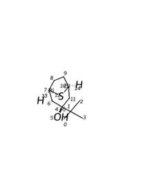 CC(C)(C)[C@]1(O)C[C@H]2CC[C@@H](C1)S2